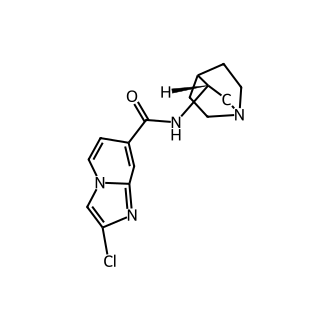 O=C(N[C@H]1CN2CCC1CC2)c1ccn2cc(Cl)nc2c1